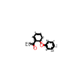 CCC(=O)C1=CC=CCC1Oc1ccccc1